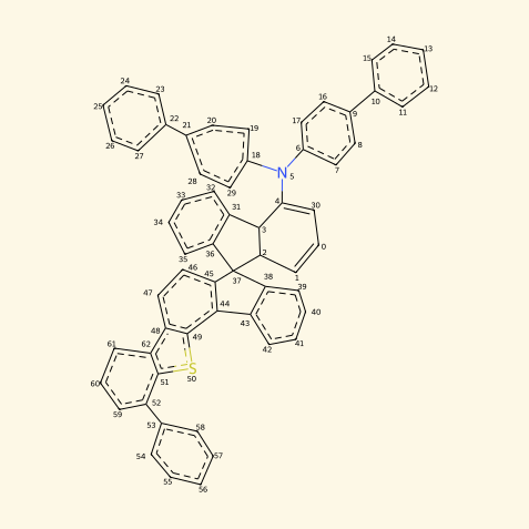 C1=CC2C(C(N(c3ccc(-c4ccccc4)cc3)c3ccc(-c4ccccc4)cc3)=C1)c1ccccc1C21c2ccccc2-c2c1ccc1c2sc2c(-c3ccccc3)cccc21